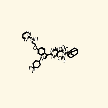 O=C(NC1(C(=O)O)C2CC3CC(C2)CC1C3)c1cnc(-c2cn(C3CCC(F)(F)CC3)c3cc(OCCNc4ncccn4)ccc23)nc1C(F)(F)F